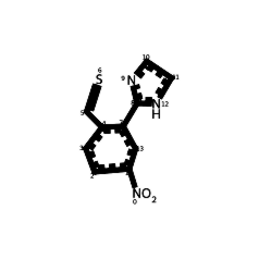 O=[N+]([O-])c1ccc(C=S)c(-c2ncc[nH]2)c1